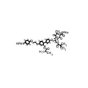 C=C(C)C(=O)OCc1cc(CCCOc2ccc(CCCCCC)cc2)ccc1-c1ccc(OCC(COC(=O)CC(=O)OC)(COC(=O)C(=C)C)COC(=O)C(=C)C)cc1